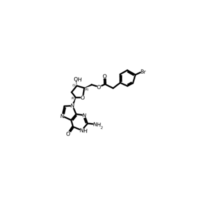 Nc1nc2c(ncn2[C@H]2C[C@H](O)[C@@H](COC(=O)Cc3ccc(Br)cc3)O2)c(=O)[nH]1